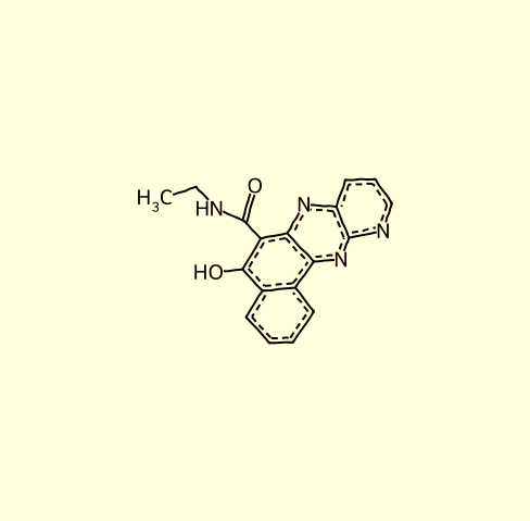 CCNC(=O)c1c(O)c2ccccc2c2nc3ncccc3nc12